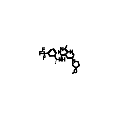 COC1CCN(c2cnc3c(C)nnc(N[C@H](C)c4cccc(C(F)(F)F)c4)c3c2)C1